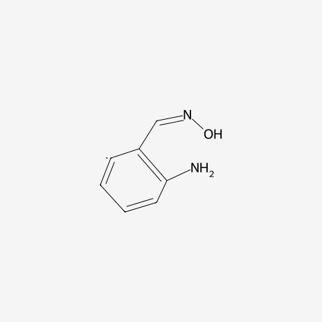 Nc1ccc[c]c1/C=N\O